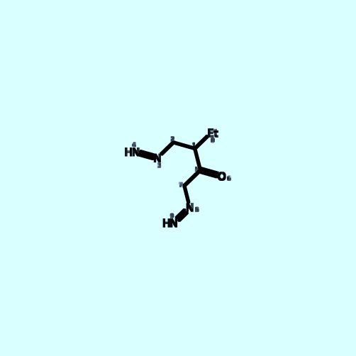 CCC(CN=N)C(=O)CN=N